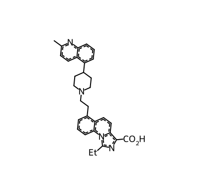 CCc1nc(C(=O)O)c2ccc3c(CCN4CCC(c5cccc6nc(C)ccc56)CC4)cccc3n12